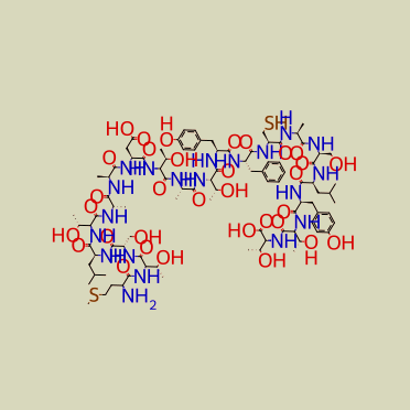 CSCC[C@H](N)C(=O)N[C@H](C(=O)N[C@@H](CO)C(=O)N[C@@H](CC(C)C)C(=O)N[C@H](C(=O)N[C@@H](C)C(=O)N[C@@H](C)C(=O)N[C@@H](CC(=O)O)C(=O)N[C@H](C(=O)N[C@@H](C)C(=O)N[C@H](C(=O)N[C@@H](Cc1ccc(O)cc1)C(=O)N[C@@H](Cc1ccccc1)C(=O)N[C@@H](CS)C(=O)N[C@@H](C)C(=O)N[C@@H](CO)C(=O)N[C@@H](CC(C)C)C(=O)N[C@@H](Cc1ccc(O)cc1)C(=O)N[C@H](C(=O)N[C@H](C(=O)O)[C@@H](C)O)[C@@H](C)O)[C@@H](C)O)[C@@H](C)O)[C@@H](C)O)[C@@H](C)O